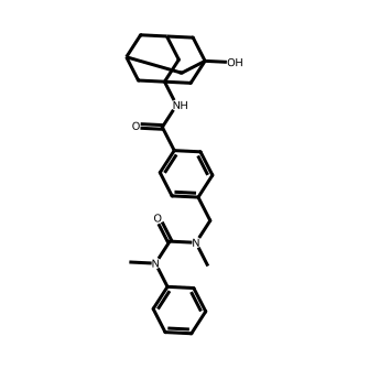 CN(Cc1ccc(C(=O)NC23CC4CC(CC(O)(C4)C2)C3)cc1)C(=O)N(C)c1ccccc1